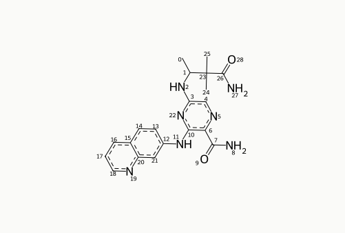 CC(Nc1cnc(C(N)=O)c(Nc2ccc3cccnc3c2)n1)C(C)(C)C(N)=O